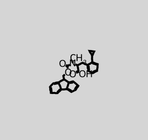 CN(C(=O)OCC1c2ccccc2-c2ccccc21)C(Cc1ccccc1C1CC1)C(=O)O